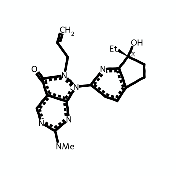 C=CCn1c(=O)c2cnc(NC)nc2n1-c1ccc2c(n1)[C@@](O)(CC)CC2